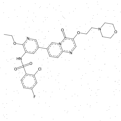 CCOc1ncc(-c2ccc3ncc(OCCN4CCOCC4)c(=O)n3c2)cc1NS(=O)(=O)c1ccc(F)cc1Cl